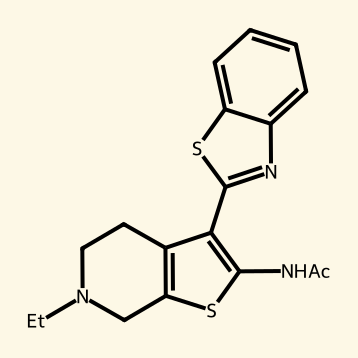 CCN1CCc2c(sc(NC(C)=O)c2-c2nc3ccccc3s2)C1